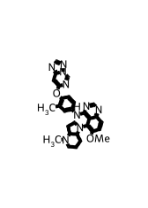 COc1ccc2ncnc(Nc3ccc(Oc4cc5ncnn5cn4)c(C)c3)c2c1N1CCC2C1CCCN2C